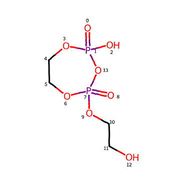 O=P1(O)OCCOP(=O)(OCCO)O1